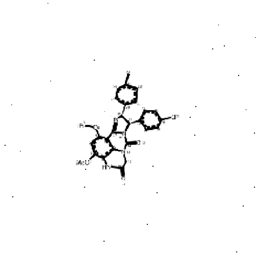 COc1cc(OC(C)C)c2c3c1NC(=O)CN3C(=O)N1C2=N[C@@H](c2ccc(C)cc2)[C@H]1c1ccc(Cl)cc1